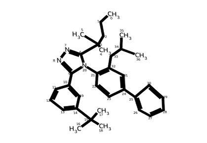 CCCC(C)(C)c1nnc(-c2cccc(C(C)(C)C)c2)n1-c1ccc(-c2ccccc2)cc1CC(C)C